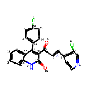 O=C(/C=C/c1ccncc1Cl)c1c(-c2ccc(Cl)cc2)c2ccccc2[nH]c1=O